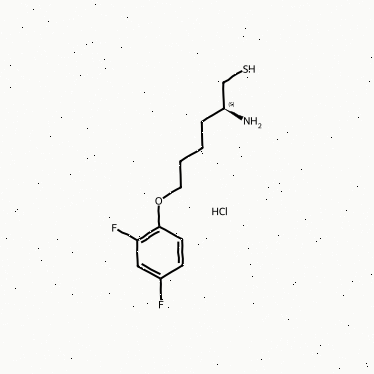 Cl.N[C@H](CS)CCCCOc1ccc(F)cc1F